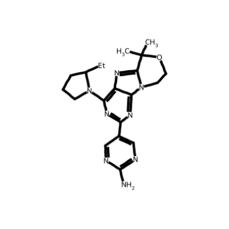 CCC1CCCN1c1nc(-c2cnc(N)nc2)nc2c1nc1n2CCOC1(C)C